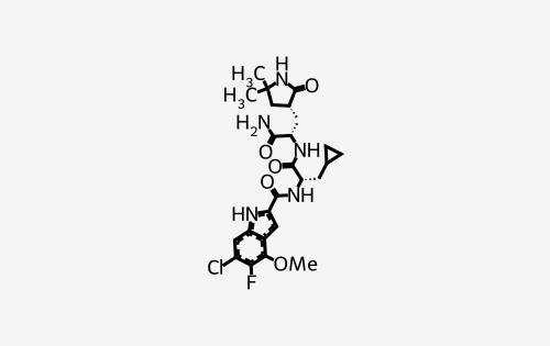 COc1c(F)c(Cl)cc2[nH]c(C(=O)N[C@@H](CC3CC3)C(=O)N[C@@H](C[C@@H]3CC(C)(C)NC3=O)C(N)=O)cc12